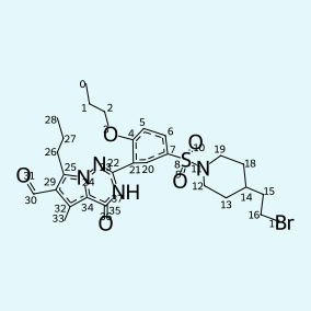 CCCOc1ccc(S(=O)(=O)N2CCC(CCBr)CC2)cc1-c1nn2c(CCC)c(C=O)c(C)c2c(=O)[nH]1